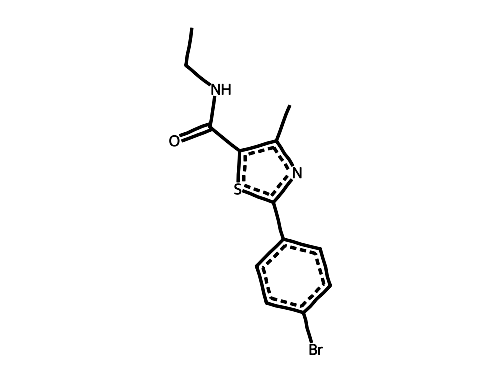 CCNC(=O)c1sc(-c2ccc(Br)cc2)nc1C